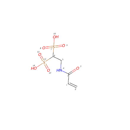 C=CC(=O)NCC(S(=O)(=O)O)S(=O)(=O)O